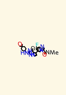 CNC(=O)c1cnc2c(F)cc(-c3ccn4nc(NC5CCC6(CC5)COC6)nc(OC)c34)cn12